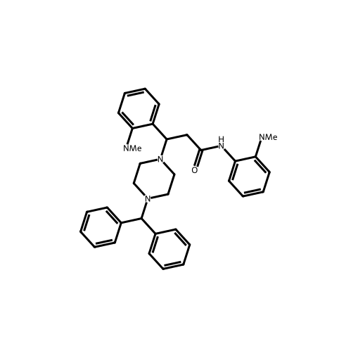 CNc1ccccc1NC(=O)CC(c1ccccc1NC)N1CCN(C(c2ccccc2)c2ccccc2)CC1